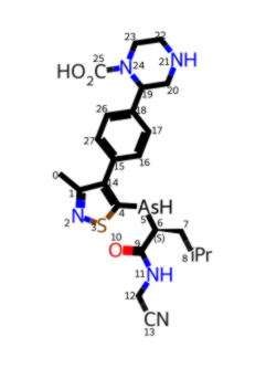 Cc1nsc([AsH][C@@H](CC(C)C)C(=O)NCC#N)c1-c1ccc(C2CNCCN2C(=O)O)cc1